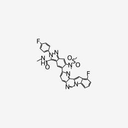 CNC(=O)c1c2cc(-c3ccc4ncn5c6cccc(F)c6cc5c4n3)c(N(C)S(C)(=O)=O)cc2nn1-c1ccc(F)cc1